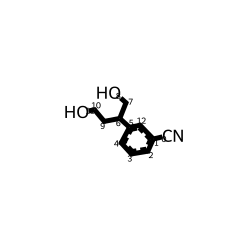 N#Cc1cccc(C(CO)CCO)c1